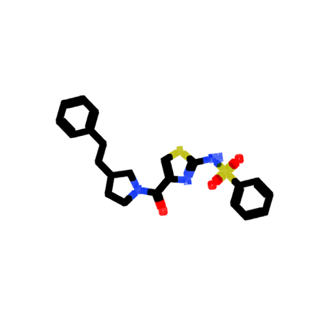 O=C(c1csc(NS(=O)(=O)c2ccccc2)n1)N1CCC(CCc2ccccc2)C1